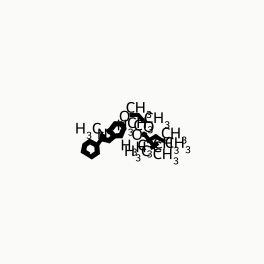 Cn1c(-c2ccccc2)cc2ccc(OC(C)(C)CC(C)(C)OC(=O)C(C)(CC(C)(C)C)C(C)(C)C)cc21